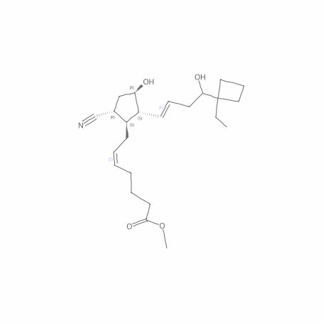 CCC1(C(O)C/C=C/[C@@H]2[C@@H](C/C=C\CCCC(=O)OC)[C@H](C#N)C[C@H]2O)CCC1